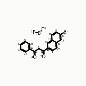 F[B]F.O=C(CC(=O)c1ccc2cc(Br)ccc2c1)c1ccccc1